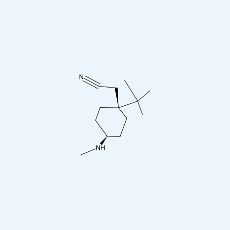 CN[C@H]1CC[C@](CC#N)(C(C)(C)C)CC1